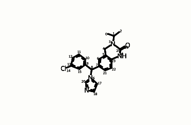 CC(C)N1Cc2cc(C(c3cccc(Cl)c3)n3ccnc3)ccc2NC1=O